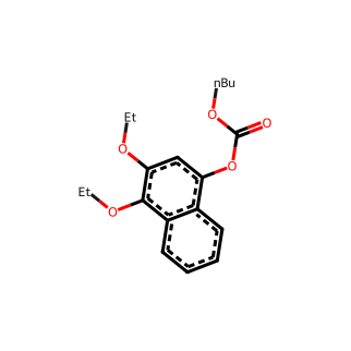 CCCCOC(=O)Oc1cc(OCC)c(OCC)c2ccccc12